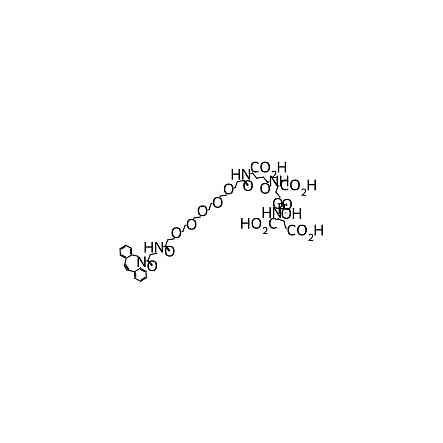 O=C(O)CC[C@H](NP(=O)(O)OCC[C@H](NC(=O)CC[C@@H](NC(=O)CCOCCOCCOCCOCCOCCC(=O)NCCC(=O)N1Cc2ccccc2C#Cc2ccccc21)C(=O)O)C(=O)O)C(=O)O